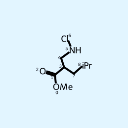 COC(=O)C(CNCl)CC(C)C